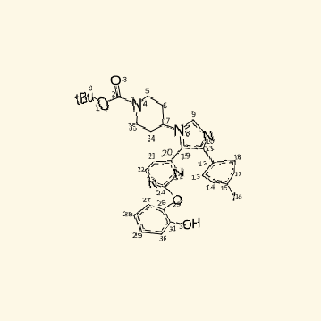 CC(C)(C)OC(=O)N1CCC(n2cnc(-c3ccc(I)cc3)c2-c2ccnc(Oc3ccccc3O)n2)CC1